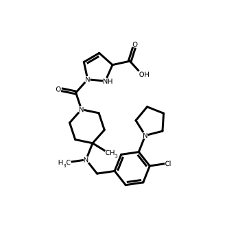 CN(Cc1ccc(Cl)c(N2CCCC2)c1)C1(C)CCN(C(=O)N2C=CC(C(=O)O)N2)CC1